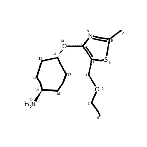 CCOCc1sc(C)nc1O[C@H]1CC[C@H](N)CC1